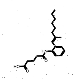 CCCCCC/C(C)=C/c1ccccc1NC(=O)CCCC(=O)O